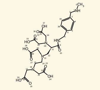 CNCc1ccc(CNC(=O)[C@@H](CN(CCN(CC(=O)O)CC(=O)O)CC(=O)O)N(CC(=O)O)CC(=O)O)cc1